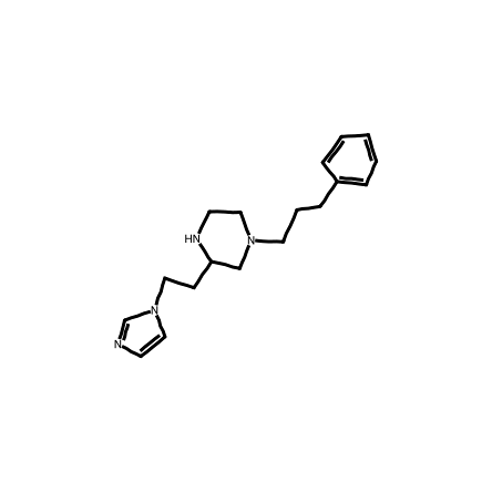 c1ccc(CCCN2CCNC(CCn3ccnc3)C2)cc1